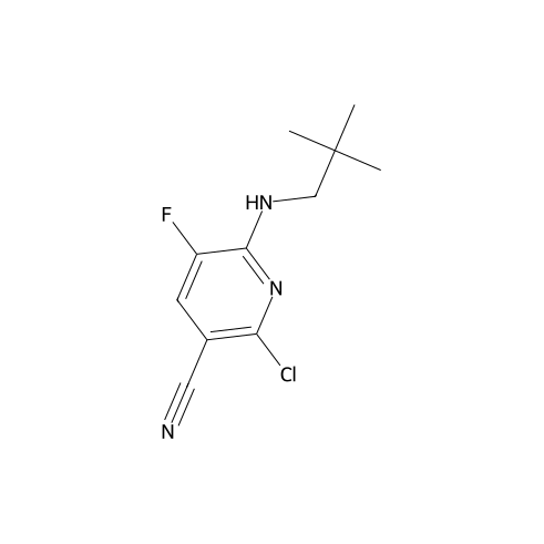 CC(C)(C)CNc1nc(Cl)c(C#N)cc1F